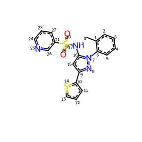 Cc1ccccc1-n1nc(-c2cccs2)cc1NS(=O)(=O)c1cccnc1